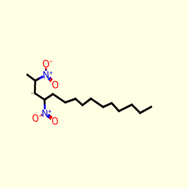 CCCCCCCCCCCC([CH]C(C)[N+](=O)[O-])[N+](=O)[O-]